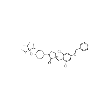 CC(C)[Si](OC1CCC(N2CC[C@@H](Cc3c(Cl)cc(OCc4ccccc4)cc3Cl)C2=O)CC1)(C(C)C)C(C)C